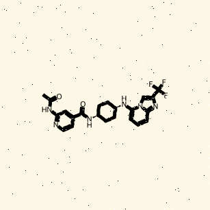 CC(=O)Nc1cc(C(=O)N[C@H]2CC[C@@H](Nc3cccc4nc(C(F)(F)F)cn34)CC2)ccn1